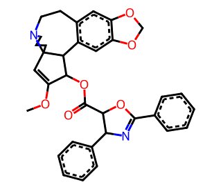 COC1=CC23CCCN2CCc2cc4c(cc2C3C1OC(=O)C1OC(c2ccccc2)=NC1c1ccccc1)OCO4